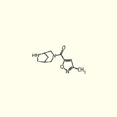 Cc1cc(C(=O)N2CC3CNC(C3)C2)on1